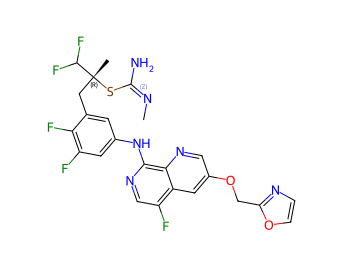 C/N=C(/N)S[C@](C)(Cc1cc(Nc2ncc(F)c3cc(OCc4ncco4)cnc23)cc(F)c1F)C(F)F